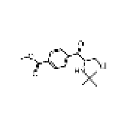 COC(=O)c1ccc(C(=O)C(CCl)NC(C)(C)C)cc1